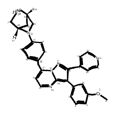 COc1cccc(-c2c(-c3ccncc3)nn3c(-c4ccc(N5C[C@@H]6C[C@H]5CN6)cc4)ccnc23)c1